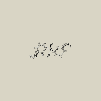 Nc1cccc(C(F)(F)c2cccc(N)c2)c1